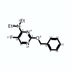 CCN(CC)c1nc(OCc2ccccc2)ncc1F